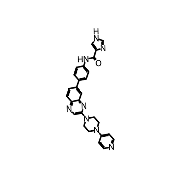 O=C(Nc1ccc(-c2ccc3ncc(N4CCN(c5ccncc5)CC4)nc3c2)cc1)c1c[nH]cn1